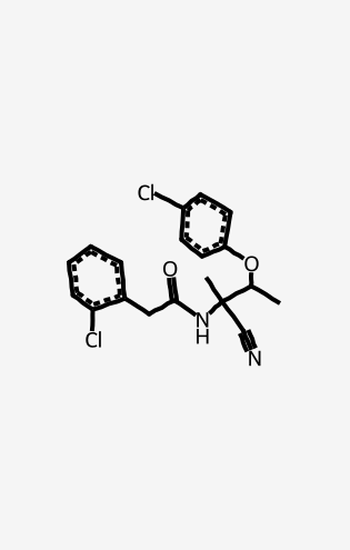 CC(Oc1ccc(Cl)cc1)C(C)(C#N)NC(=O)Cc1ccccc1Cl